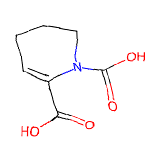 O=C(O)C1=CCCCN1C(=O)O